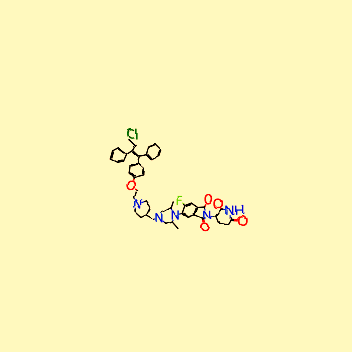 CC1CN(CC2CCN(CCOc3ccc(C(=C(CCCl)c4ccccc4)c4ccccc4)cc3)CC2)CC(C)N1c1cc2c(cc1F)C(=O)N(C1CCC(=O)NC1=O)C2=O